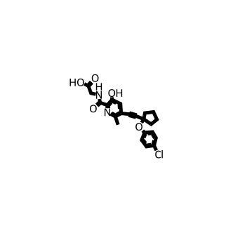 Cc1nc(C(=O)NCC(=O)O)c(O)cc1C#CC1(Oc2ccc(Cl)cc2)CCCC1